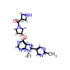 CCn1c(-c2cnc(C)nc2)nc2c(OC3CCN(C(=O)C4CNC4)C3)ncnc21